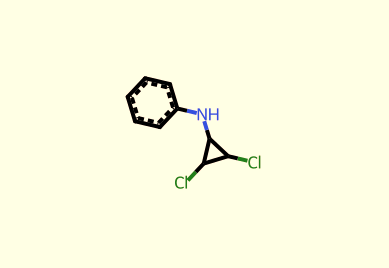 ClC1C(Cl)C1Nc1ccccc1